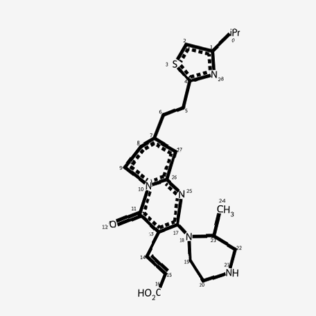 CC(C)c1csc(CCc2ccn3c(=O)c(C=CC(=O)O)c(N4CCNCC4C)nc3c2)n1